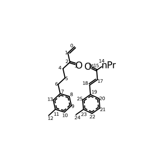 C=CC(=O)CCCc1cccc(C)c1.CCCC(=O)C=Cc1cccc(C)c1